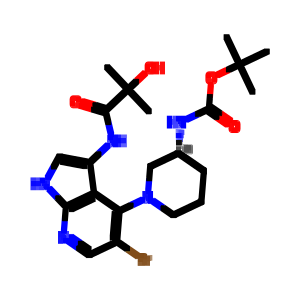 CC(C)(C)OC(=O)N[C@@H]1CCCN(c2c(Br)cnc3[nH]cc(NC(=O)C(C)(C)O)c23)C1